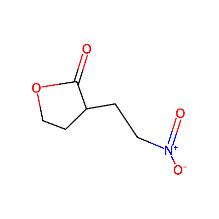 O=C1OCCC1CC[N+](=O)[O-]